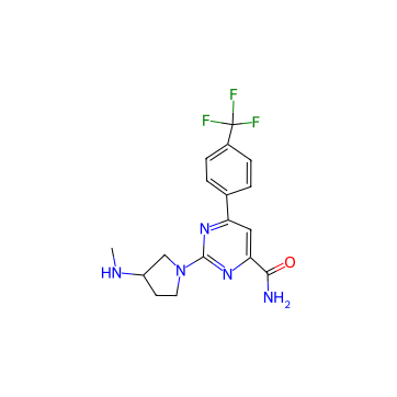 CNC1CCN(c2nc(C(N)=O)cc(-c3ccc(C(F)(F)F)cc3)n2)C1